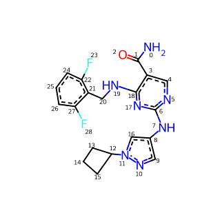 NC(=O)c1cnc(Nc2cnn(C3CCC3)c2)nc1NCc1c(F)cccc1F